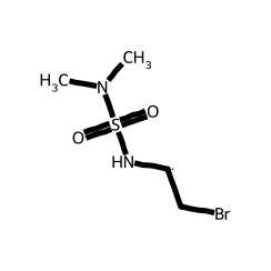 CN(C)S(=O)(=O)N[CH]CBr